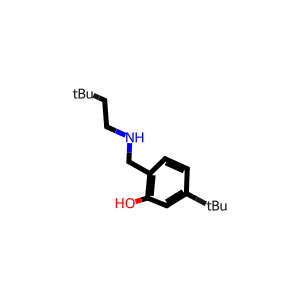 CC(C)(C)CCNCc1ccc(C(C)(C)C)cc1O